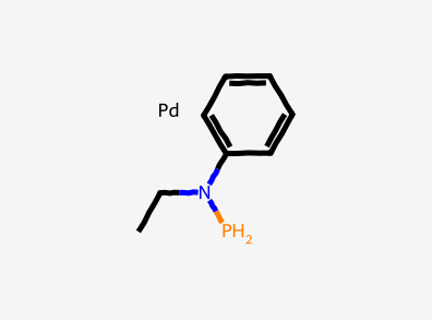 CCN(P)c1ccccc1.[Pd]